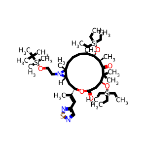 CC[Si](CC)(CC)O[C@H]1[C@@H](C)CCC[C@]2(C)[C@H](C[C@@H](/C(C)=C/c3cnsn3)OC(=O)C[C@H](O[Si](CC)(CC)CC)C(C)(C)C(=O)[C@@H]1C)N2CCO[Si](C)(C)C(C)(C)C